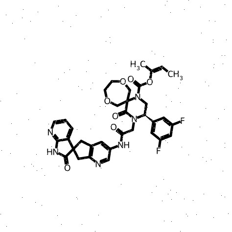 C/C=C(/C)OC(=O)N1C[C@@H](c2cc(F)cc(F)c2)N(CC(=O)Nc2cnc3c(c2)CC2(C3)C(=O)Nc3ncccc32)C(=O)C12COCCOC2